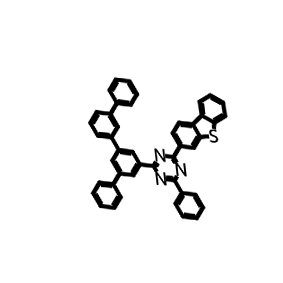 c1ccc(-c2cccc(-c3cc(-c4ccccc4)cc(-c4nc(-c5ccccc5)nc(-c5ccc6c(c5)sc5ccccc56)n4)c3)c2)cc1